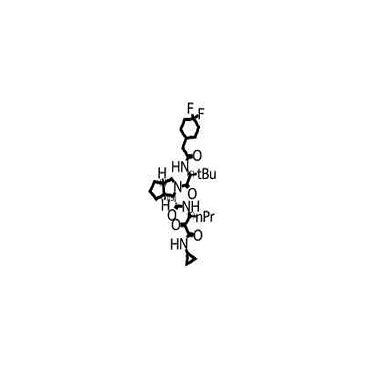 CCC[C@H](NC(=O)[C@@H]1[C@H]2CCC[C@H]2CN1C(=O)[C@@H](NC(=O)CC1CCC(F)(F)CC1)C(C)(C)C)C(=O)C(=O)NC1CC1